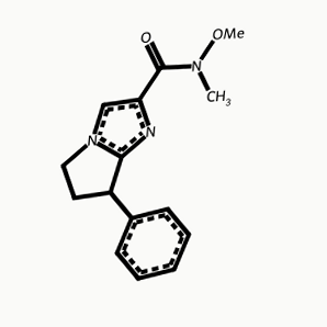 CON(C)C(=O)c1cn2c(n1)C(c1ccccc1)CC2